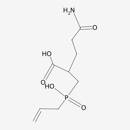 C=CCP(=O)(O)CC(CCC(N)=O)C(=O)O